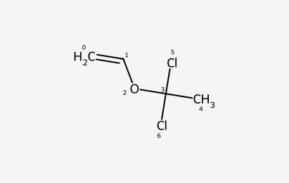 C=COC(C)(Cl)Cl